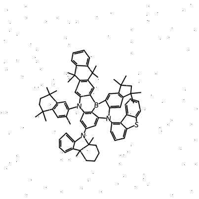 Cc1cc2c(cc1N1c3cc4c(cc3B3c5cc6c(cc5N(c5cccc7sc8ccccc8c57)c5cc(N7c8ccccc8C8(C)CCCCC78C)cc1c53)C(C)(C)CC6(C)C)C(C)(C)c1ccccc1C4(C)C)C(C)(C)CCC2(C)C